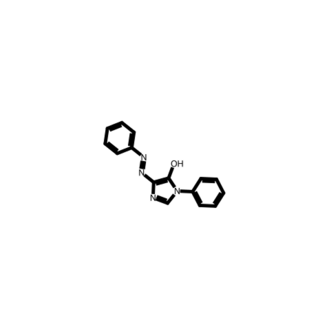 Oc1c(N=Nc2ccccc2)ncn1-c1ccccc1